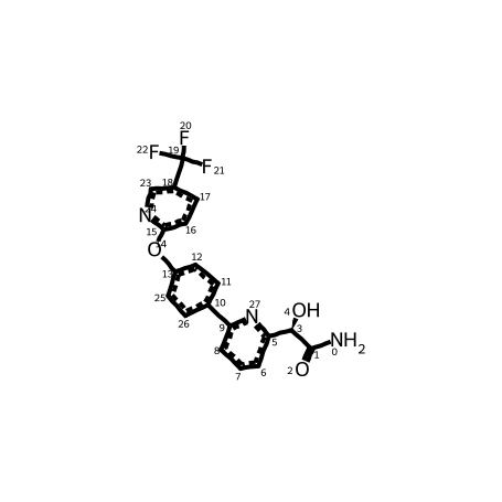 NC(=O)[C@H](O)c1cccc(-c2ccc(Oc3ccc(C(F)(F)F)cn3)cc2)n1